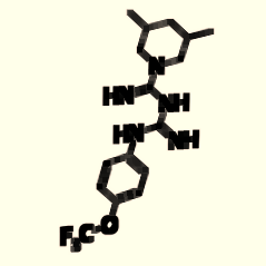 CC1CC(C)CN(C(=N)NC(=N)Nc2ccc(OC(F)(F)F)cc2)C1